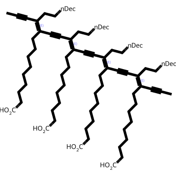 CC#C/C(CCCCCCCCCCCC)=C(/C#C/C(CCCCCCCCCCCC)=C(/C#C/C(CCCCCCCCCCCC)=C(/C#C/C(CCCCCCCCCCCC)=C(/C#CC)CCCCCCCCC(=O)O)CCCCCCCCC(=O)O)CCCCCCCCC(=O)O)CCCCCCCCC(=O)O